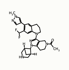 CC(=O)N1CCc2c(c(N3CCCc4cc(-c5cnn(C)c5)c(C(F)F)cc43)nn2C2[C@@H]3CNC[C@H]2C3)C1